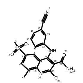 Cc1cc(S(C)(=O)=O)cc2c(Nc3cccc(C#N)c3)c(C(N)=O)c(Cl)nc12